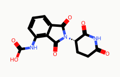 O=C(O)Nc1cccc2c1C(=O)N([C@H]1CCC(=O)NC1=O)C2=O